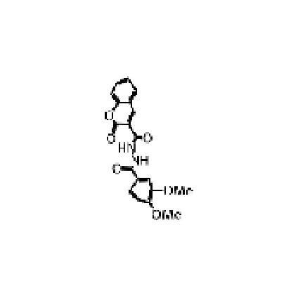 COc1ccc(C(=O)NNC(=O)c2cc3ccccc3oc2=O)cc1OC